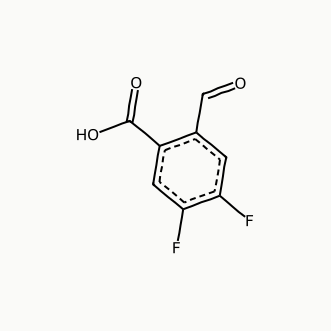 O=Cc1cc(F)c(F)cc1C(=O)O